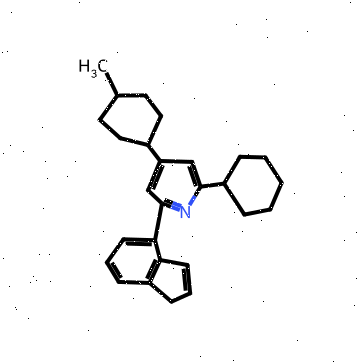 CC1CCC(c2cc(-c3cccc4c3C=CC4)nc(C3CCCCC3)c2)CC1